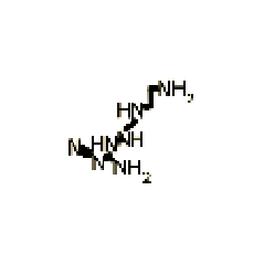 N#CN=C(N)NNCCNCCN